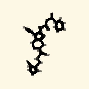 CC(CC(=O)Nc1sc2c(c1C#N)CCN(C(=O)OCc1nccn1C)C2)c1ccccn1